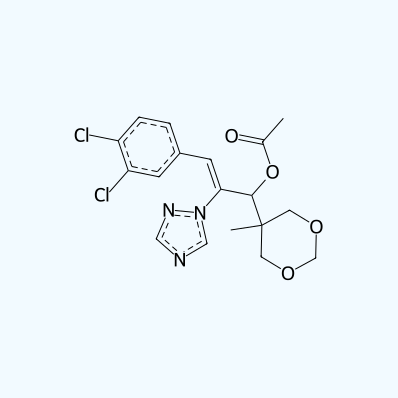 CC(=O)OC(C(=Cc1ccc(Cl)c(Cl)c1)n1cncn1)C1(C)COCOC1